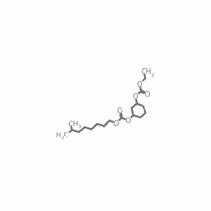 CCOC(=O)OC1CCCC(OC(=O)OCCCCCCC(C)C)C1